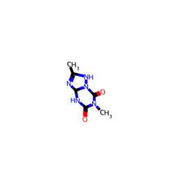 CC1=NC2NC(=O)N(C)C(=O)N2N1